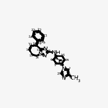 Cc1cn(C23CCC(Nc4nc5n(n4)CCCCC5c4ccccc4)(CC2)CC3)cn1